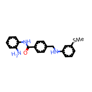 CSc1cccc(NCc2ccc(C(=O)Nc3ccccc3N)cc2)c1